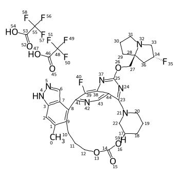 Cc1cc2[nH]ncc2c2c1CCCOC(=O)O[C@@H]1CCCN(C1)c1nc(OC[C@@]34CCCN3C[C@H](F)C4)nc3c(F)c-2ncc13.O=C(O)C(F)(F)F.O=C(O)C(F)(F)F